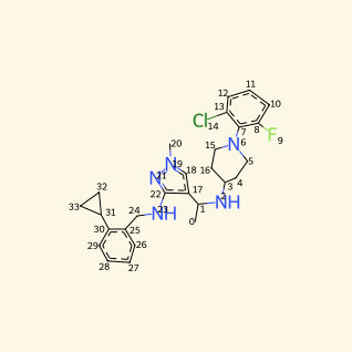 CC(NC1CCN(c2c(F)cccc2Cl)CC1)c1cn(C)nc1NCc1ccccc1C1CC1